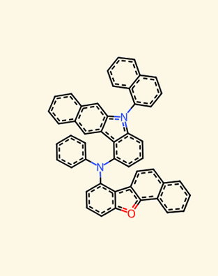 c1ccc(N(c2cccc3oc4c5ccccc5ccc4c23)c2cccc3c2c2cc4ccccc4cc2n3-c2cccc3ccccc23)cc1